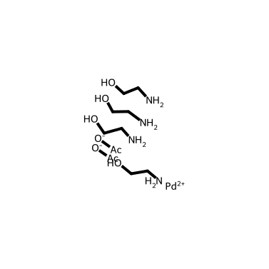 CC(=O)[O-].CC(=O)[O-].NCCO.NCCO.NCCO.NCCO.[Pd+2]